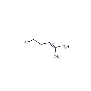 CC(=O)CC/C=C(\C)C(=O)O